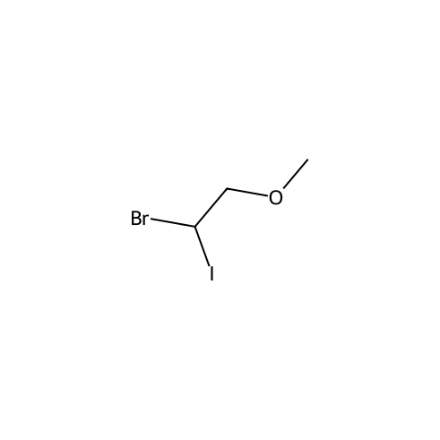 COCC(Br)I